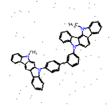 Cn1c2ccccc2c2cc3c4ccccc4n(-c4ccc(-c5cccc(-n6c7ccccc7c7c8c(ccc76)c6ccccc6n8C)c5)cc4)c3cc21